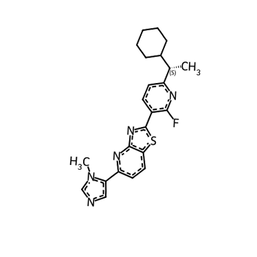 C[C@H](c1ccc(-c2nc3nc(-c4cncn4C)ccc3s2)c(F)n1)C1CCCCC1